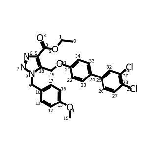 CCOC(=O)c1nnn(Cc2ccc(OC)cc2)c1COc1ccc(-c2ccc(Cl)c(Cl)c2)cc1